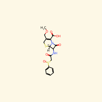 COCC1=C(C(=O)O)N2C(=O)C(NC(=O)C[S+]([O-])c3ccccc3)[C@@H]2SC1